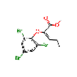 CCC=C(Oc1c(Br)cc(Br)cc1Br)C(=O)OC